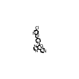 O=C(c1nccnc1-c1ccncn1)N1CCC(F)(Cc2ccc(Cl)cn2)CC1